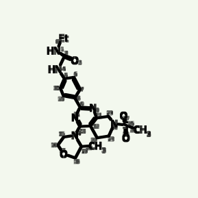 CCNC(=O)Nc1ccc(-c2nc3c(c(N4CCOCC4C)n2)CCN(S(C)(=O)=O)C3)cc1